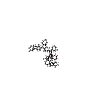 C[Si]1(C)c2ccccc2C2(c3ccccc3-c3cccc4cccc2c34)c2ccc(N(c3ccccc3)c3ccc4c(c3)c3ccccc3n4-c3ccc4c(c3)oc3ccccc34)cc21